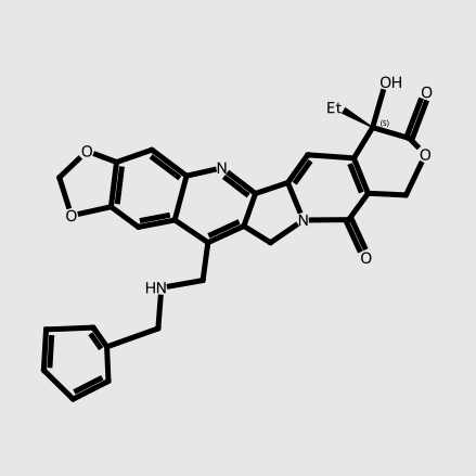 CC[C@@]1(O)C(=O)OCc2c1cc1n(c2=O)Cc2c-1nc1cc3c(cc1c2CNCc1ccccc1)OCO3